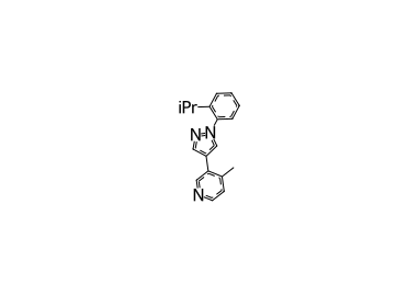 Cc1ccncc1-c1cnn(-c2ccccc2C(C)C)c1